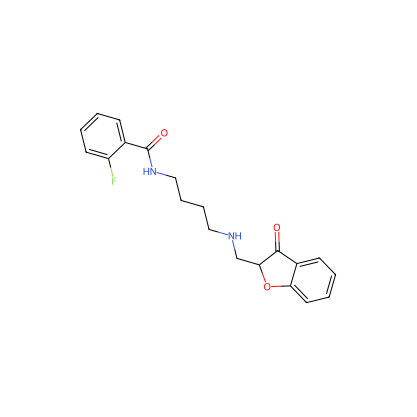 O=C(NCCCCNCC1Oc2ccccc2C1=O)c1ccccc1F